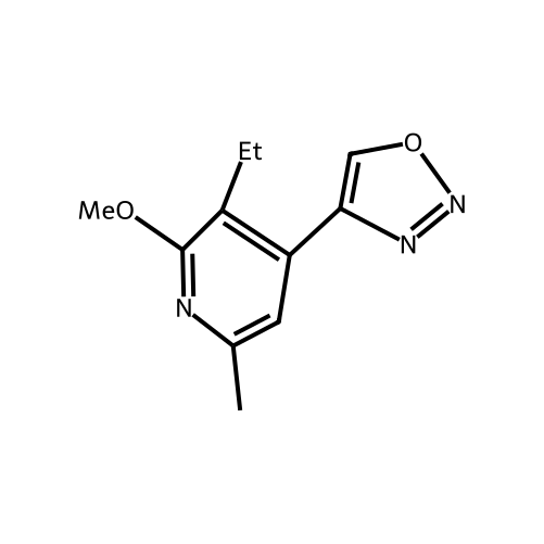 CCc1c(-c2conn2)cc(C)nc1OC